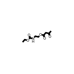 CCOC(=O)NCCOC(=O)CC(C)=O